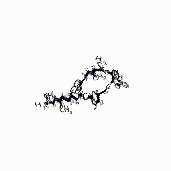 CC(/C=C/C(C)=C/[C@@H]1Cc2nc(cs2)CCC[C@@H](N[SH](=O)=O)C(=O)O[C@@H](C)C/C(C)=C/C=C\C(=O)O1)=C\CN(C)C